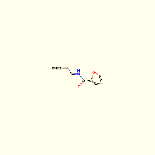 CCCCCCCCNC(=O)c1ccco1